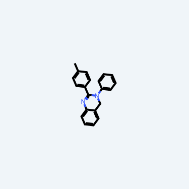 Cc1ccc(C2=Nc3ccccc3CN2c2ccccc2)cc1